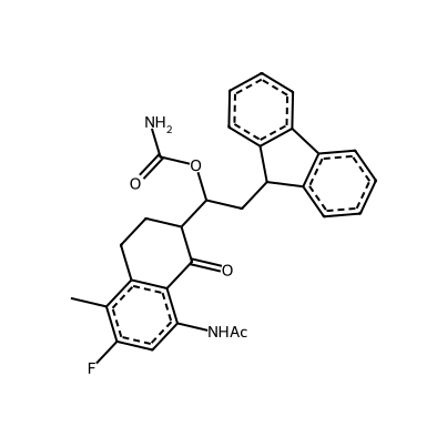 CC(=O)Nc1cc(F)c(C)c2c1C(=O)C(C(CC1c3ccccc3-c3ccccc31)OC(N)=O)CC2